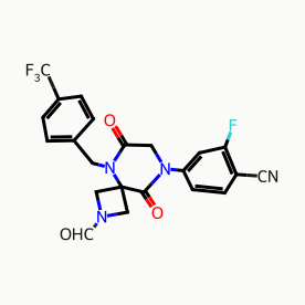 N#Cc1ccc(N2CC(=O)N(Cc3ccc(C(F)(F)F)cc3)C3(CN(C=O)C3)C2=O)cc1F